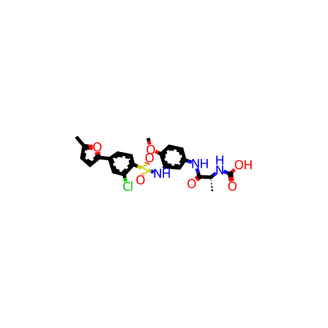 COc1ccc(NC(=O)[C@@H](C)NC(=O)O)cc1NS(=O)(=O)c1ccc(-c2ccc(C)o2)cc1Cl